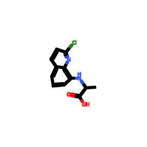 CC(Nc1cccc2ccc(Cl)nc12)C(=O)O